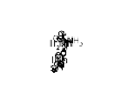 CO/C(C)=C(/CN(N)/C(COc1ccc(C(=O)Nc2nnc(-c3cccs3)o2)c(OC)c1)=N\N)OC=O